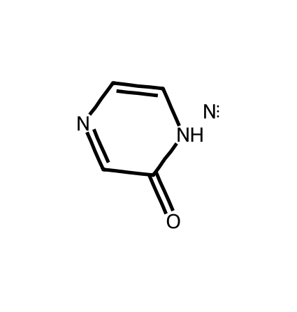 O=c1cncc[nH]1.[N]